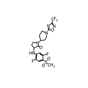 CS(=O)(=O)c1cc(F)c(NC2CCN(C3CCN(c4nc(C(F)(F)F)no4)CC3)C2=O)cc1F